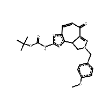 COc1ccc(CN2CC3C(=N2)C(=O)C=Cc2sc(NC(=O)OC(C)(C)C)nc23)cc1